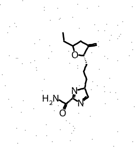 C=C1CC(CC)O[C@H]1CCCC1C=NC(C(N)=O)=N1